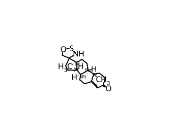 C[C@]12CCC(=O)C=C1CC[C@@H]1[C@@H]2CC[C@@]2(C)[C@H]1CCC21COSN1